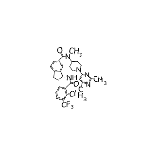 Cc1cc(N2CCC(N(C)C(=O)c3ccc4c(c3)[C@H](NC(=O)c3cccc(C(F)(F)F)c3Cl)CC4)CC2)nc(C)n1